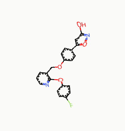 Oc1cc(-c2ccc(OCc3cccnc3Oc3ccc(F)cc3)cc2)on1